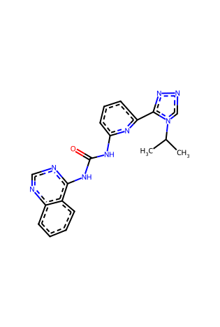 CC(C)n1cnnc1-c1cccc(NC(=O)Nc2ncnc3ccccc23)n1